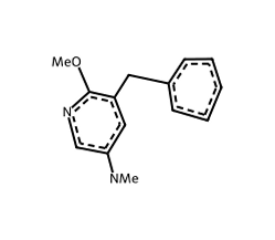 CNc1cnc(OC)c(Cc2ccccc2)c1